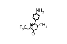 C[C@@H]1CC(=O)N(CC(F)(F)F)N=C1c1ccc(N)cc1